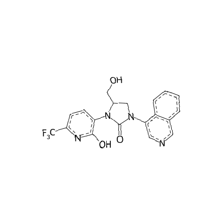 O=C1N(c2cncc3ccccc23)CC(CO)N1c1ccc(C(F)(F)F)nc1O